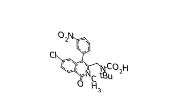 Cn1c(CN(C(=O)O)C(C)(C)C)c(-c2cccc([N+](=O)[O-])c2)c2cc(Cl)ccc2c1=O